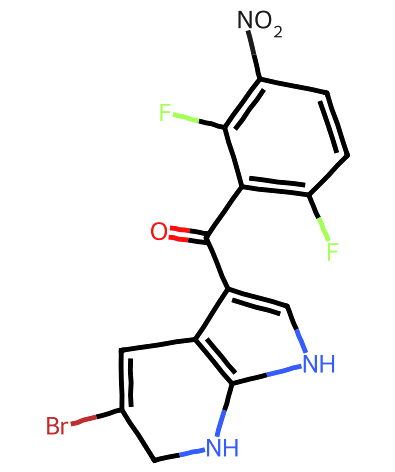 O=C(c1c[nH]c2c1C=C(Br)CN2)c1c(F)ccc([N+](=O)[O-])c1F